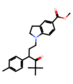 COC(=O)c1ccc2c(c1)CCN2CCC(C(=O)C(C)(C)C)c1ccc(C)cc1